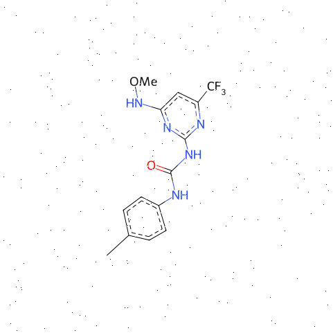 CONc1cc(C(F)(F)F)nc(NC(=O)Nc2ccc(C)cc2)n1